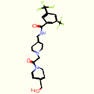 O=C(NCC1CCN(CC(=O)N2CCC(CO)CC2)CC1)c1cc(C(F)(F)F)cc(C(F)(F)F)c1